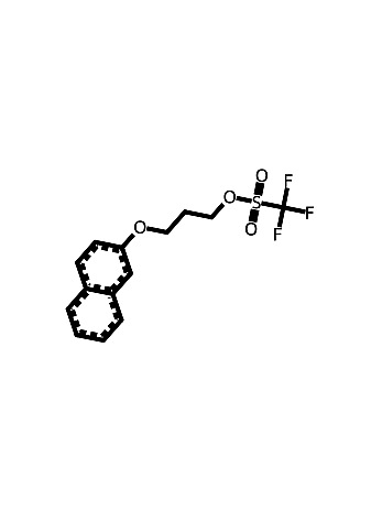 O=S(=O)(OCCCOc1ccc2ccccc2c1)C(F)(F)F